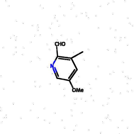 COc1cnc(C=O)c(C)c1